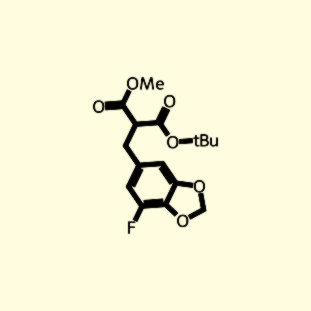 COC(=O)C(Cc1cc(F)c2c(c1)OCO2)C(=O)OC(C)(C)C